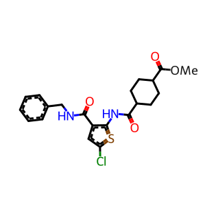 COC(=O)C1CCC(C(=O)Nc2sc(Cl)cc2C(=O)NCc2ccccc2)CC1